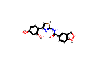 O=C(Nc1nc(-c2ccc(O)cc2O)cs1)c1ccc2c(c1)COO2